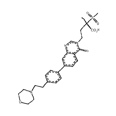 CC(CCn1cnc2cc(-c3ccc(CCN4CCOCC4)cc3)ccc2c1=O)(C(=O)O)S(C)(=O)=O